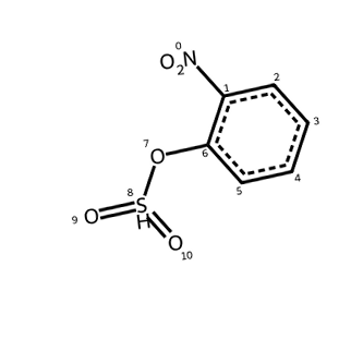 O=[N+]([O-])c1ccccc1O[SH](=O)=O